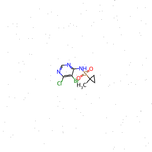 CC1(S(=O)(=O)Nc2ncnc(Cl)c2Br)CC1